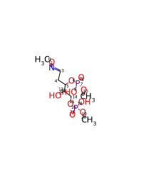 CON=CCC(OP(=O)(O)OC)[C@H](O)COP(=O)(O)OC